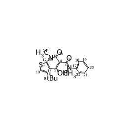 CN(C(=O)c1c(O)c2c(C(C)(C)C)csc2n(C)c1=O)c1ccccc1